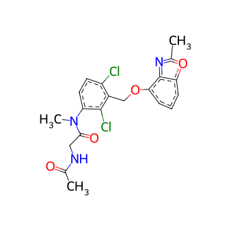 CC(=O)NCC(=O)N(C)c1ccc(Cl)c(COc2cccc3oc(C)nc23)c1Cl